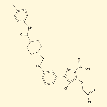 Cc1ccc(NC(=O)N2CCC(CNc3cccc(-c4sc(C(=O)O)c(OCC(=O)O)c4Cl)c3)CC2)cc1